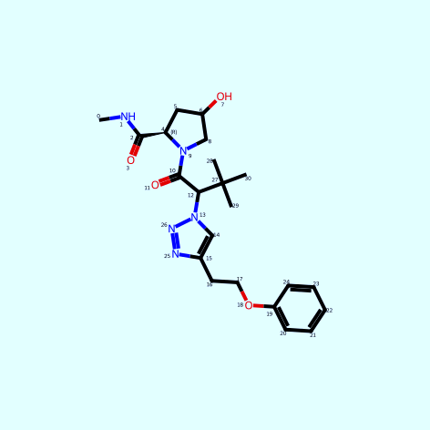 CNC(=O)[C@H]1CC(O)CN1C(=O)C(n1cc(CCOc2ccccc2)nn1)C(C)(C)C